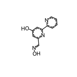 O/N=C/c1cc(O)cc(-c2ccccn2)n1